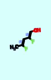 C/C(F)=C/C(F)=C/O